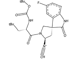 C#[N+][C@@H]1C[C@@]2(CN1C(=O)[C@H](CC(C)(C)C)NC(=O)OC(C)(C)C)C(=O)Nc1ccc(F)cc12